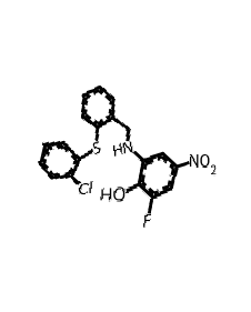 O=[N+]([O-])c1cc(F)c(O)c(NCc2ccccc2Sc2ccccc2Cl)c1